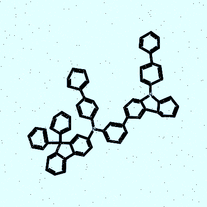 c1ccc(-c2ccc(N(c3cccc(-c4ccc5c(c4)c4ccccc4n5-c4ccc(-c5ccccc5)cc4)c3)c3ccc4c(c3)C(c3ccccc3)(c3ccccc3)c3ccccc3-4)cc2)cc1